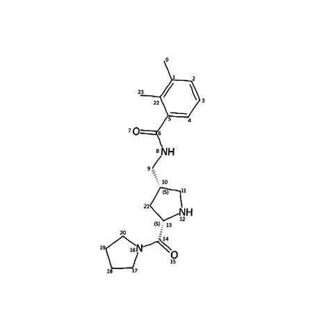 Cc1cccc(C(=O)NC[C@@H]2CN[C@H](C(=O)N3CCCC3)C2)c1C